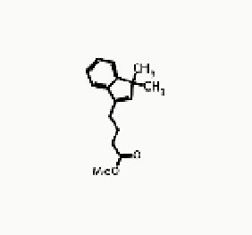 COC(=O)CCCC1=CC(C)(C)c2ccccc21